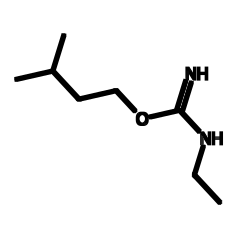 CCNC(=N)OCCC(C)C